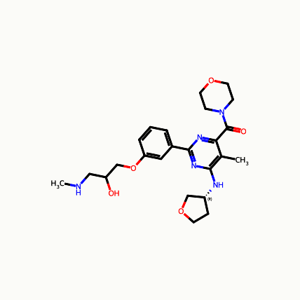 CNCC(O)COc1cccc(-c2nc(N[C@@H]3CCOC3)c(C)c(C(=O)N3CCOCC3)n2)c1